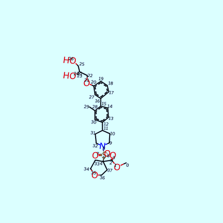 COC(=O)C1(S(=O)(=O)N2CCC(c3ccc(-c4cccc(OC[C@H](O)CO)c4)c(C)c3)CC2)CCOCC1